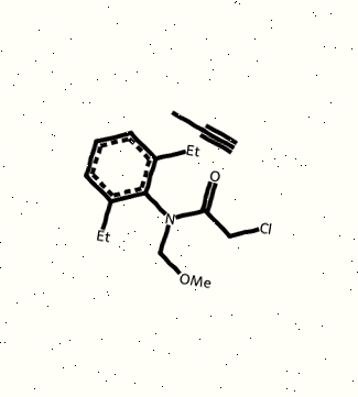 C#CC.CCc1cccc(CC)c1N(COC)C(=O)CCl